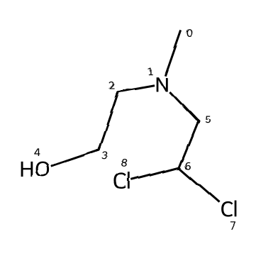 CN(CCO)CC(Cl)Cl